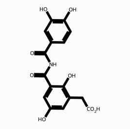 O=C(O)Cc1cc(O)cc(C(=O)NC(=O)c2ccc(O)c(O)c2)c1O